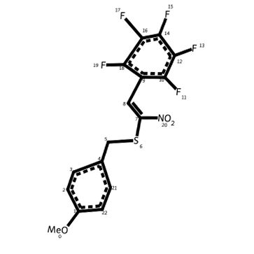 COc1ccc(CSC(=Cc2c(F)c(F)c(F)c(F)c2F)[N+](=O)[O-])cc1